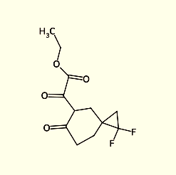 CCOC(=O)C(=O)C1CC2(CCC1=O)CC2(F)F